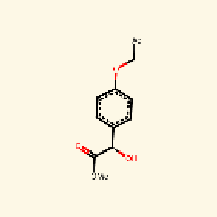 COC(=O)[C@H](O)c1ccc(OCC(C)=O)cc1